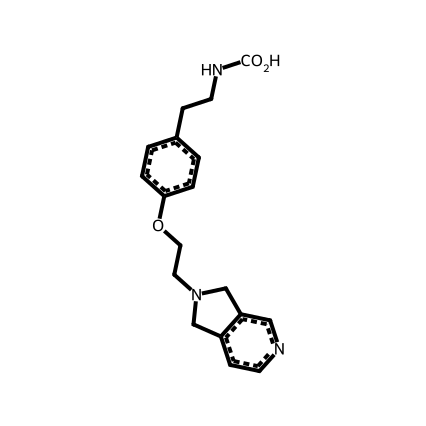 O=C(O)NCCc1ccc(OCCN2Cc3ccncc3C2)cc1